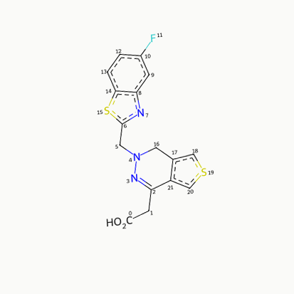 O=C(O)CC1=NN(Cc2nc3cc(F)ccc3s2)Cc2cscc21